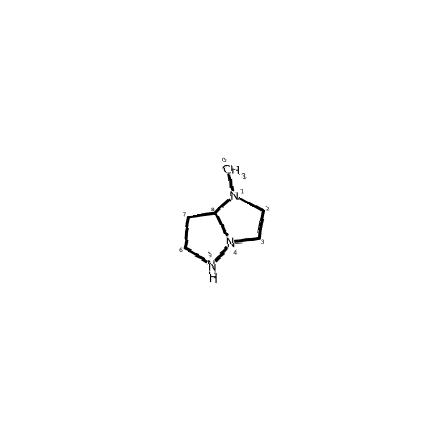 CN1CCN2NCCC12